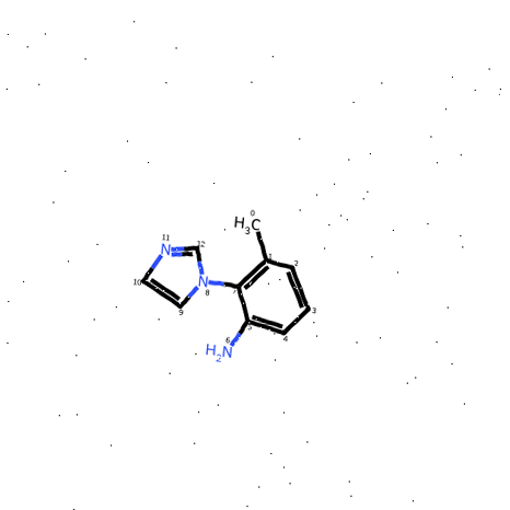 Cc1cccc(N)c1-n1ccnc1